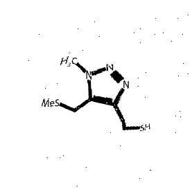 CSCc1c(CS)nnn1C